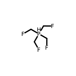 FC[PH](CF)(CF)CF